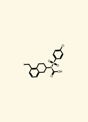 O=C(O)N(C1CCc2c(CI)cccc2C1)S(=O)(=O)c1ccc(Cl)cc1